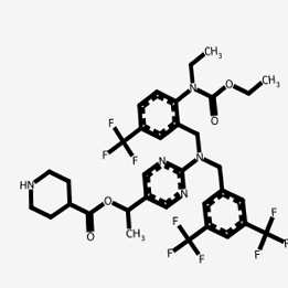 CCOC(=O)N(CC)c1ccc(C(F)(F)F)cc1CN(Cc1cc(C(F)(F)F)cc(C(F)(F)F)c1)c1ncc(C(C)OC(=O)C2CCNCC2)cn1